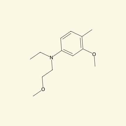 CCN(CCOC)c1ccc(C)c(OC)c1